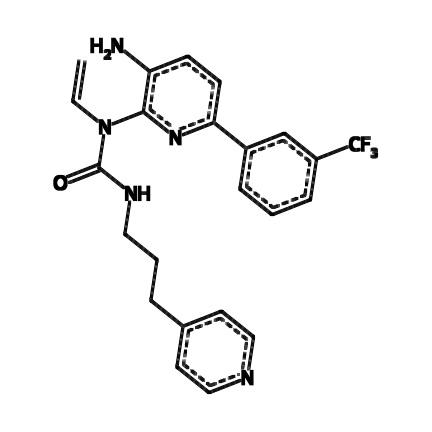 C=CN(C(=O)NCCCc1ccncc1)c1nc(-c2cccc(C(F)(F)F)c2)ccc1N